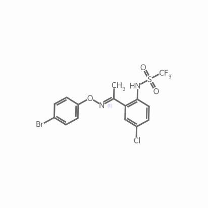 C/C(=N\Oc1ccc(Br)cc1)c1cc(Cl)ccc1NS(=O)(=O)C(F)(F)F